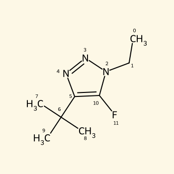 CCn1nnc(C(C)(C)C)c1F